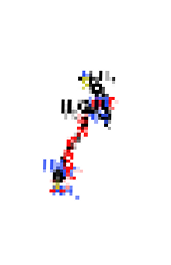 Cc1ncsc1-c1ccc(CNC(=O)[C@@H]2C[C@@H](C)CN2C(=O)C(NC(=O)CCOCCOCCOCCNc2ccc(S(N)(=O)=O)cc2[N+](=O)[O-])C(C)(C)C)cc1